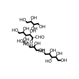 CCO.O=C[C@H](O)[C@@H](O)[C@H](O)[C@H](O)CO.OCC(O)CO.OC[C@@H](O)[C@@H](O)CO.OC[C@@H](O)[C@@H](O)[C@@H](O)CO